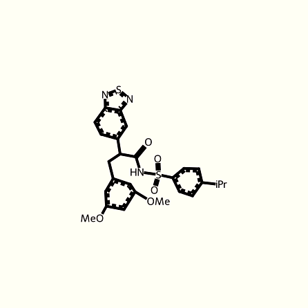 COc1cc(CC(C(=O)NS(=O)(=O)c2ccc(C(C)C)cc2)c2ccc3nsnc3c2)cc(OC)c1